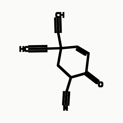 C#CC1(C#C)C=CC(=O)C(C#N)C1